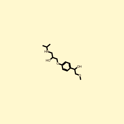 COCC(O)c1ccc(OCC(O)CNC(C)C)cc1